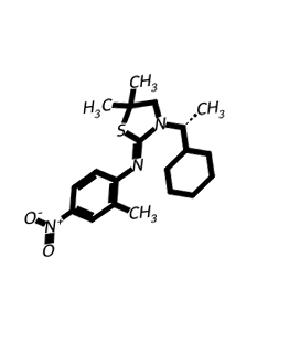 Cc1cc([N+](=O)[O-])ccc1N=C1SC(C)(C)CN1[C@H](C)C1CCCCC1